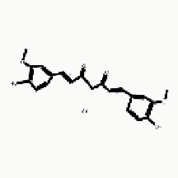 COc1cc(/C=C/C(=O)CC(=O)/C=C/c2ccc(O)c(OC)c2)ccc1O.[As]